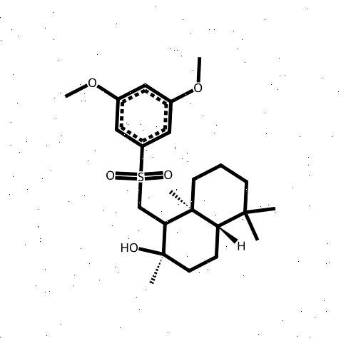 COc1cc(OC)cc(S(=O)(=O)CC2[C@](C)(O)CC[C@H]3C(C)(C)CCC[C@]23C)c1